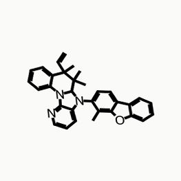 C=CC1(C)c2ccccc2N2c3ncccc3N(c3ccc4c(oc5ccccc54)c3C)C2C1(C)C